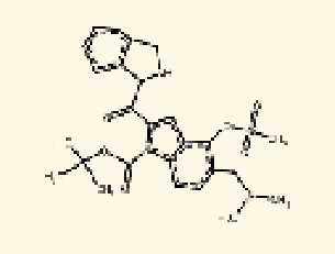 CN(C)Cc1ccc2c(cc(C(=O)C3NCc4ccccc43)n2C(=O)OC(C)(C)C)c1OS(C)(=O)=O